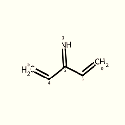 C=CC(=N)C=C